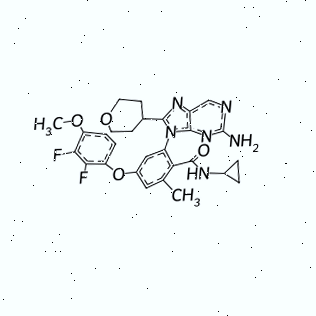 COc1ccc(Oc2cc(C)c(C(=O)NC3CC3)c(-n3c(C4CCOCC4)nc4cnc(N)nc43)c2)c(F)c1F